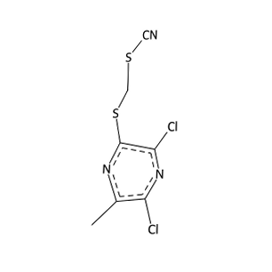 Cc1nc(SCSC#N)c(Cl)nc1Cl